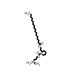 CCCCCCCCCCCCCCCCCC(=O)OCCC1CCCCN1C(=O)OCCCN(C)C